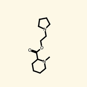 CN1CCCCC1C(=O)OCCN1CCCC1